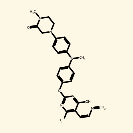 C=N/C=C\c1c(C)nc(Oc2ccc(N(C)c3ccc(N4CCN(C)C(=O)C4)cc3)cc2)nc1O